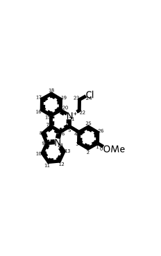 COc1ccc(-c2c3c(cc4ccccn43)c3ccccc3[n+]2CCCl)cc1